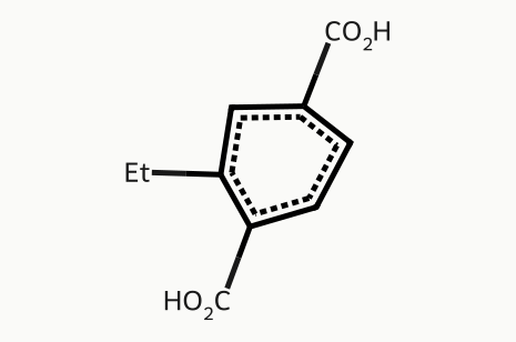 CCc1cc(C(=O)O)ccc1C(=O)O